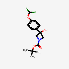 CC(C)(C)OC(=O)N1CC(O)(c2ccc(OC(F)F)cc2)C1